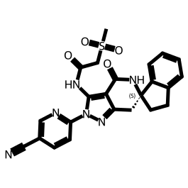 CS(=O)(=O)CC(=O)Nc1c2c(nn1-c1ccc(C#N)cn1)C[C@]1(CCc3ccccc31)NC2=O